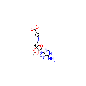 COC(=O)C1CC(NC[C@H]2OC[C@@]3(n4cnc5c(N)ncnc54)OC(C)(C)O[C@H]23)C1